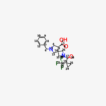 O=C(O)[C@@H]1CN(Cc2ccccc2)CC12CN(C(=O)C1(C(F)(F)F)CC1)C2